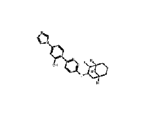 Oc1cc(-n2ccnc2)ccc1-c1ccc(O[C@@H]2C[C@H]3CCC[C@H](N3)[C@@H]2F)nn1